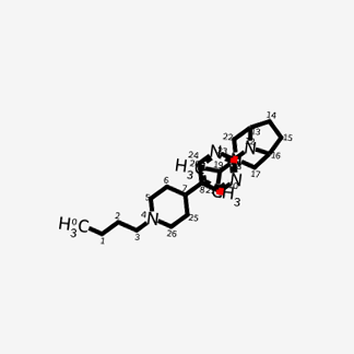 CCCCN1CCC(c2cnc(N3C4CCC3CN(C(C)C)C4)nc2)CC1